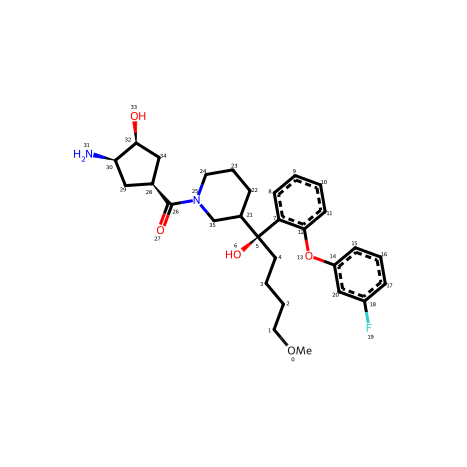 COCCCC[C@@](O)(c1ccccc1Oc1cccc(F)c1)C1CCCN(C(=O)[C@H]2C[C@@H](N)[C@@H](O)C2)C1